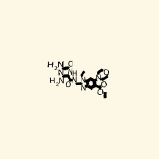 CCOC(=O)c1cc2nc(CNC(=O)c3nc(Cl)c(N)nc3N)n(CC)c2cc1N1CCOCC1